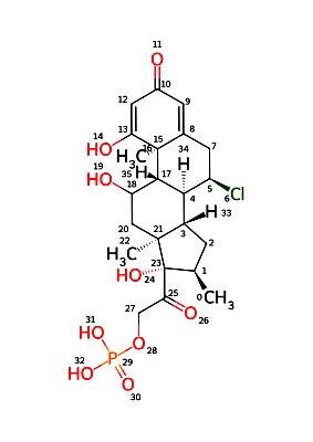 C[C@@H]1C[C@H]2[C@@H]3[C@H](Cl)CC4=CC(=O)C=C(O)[C@]4(C)[C@H]3C(O)C[C@]2(C)[C@]1(O)C(=O)COP(=O)(O)O